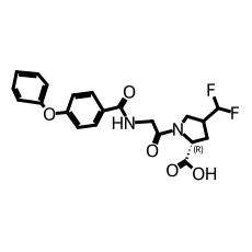 O=C(NCC(=O)N1CC(C(F)F)C[C@@H]1C(=O)O)c1ccc(Oc2ccccc2)cc1